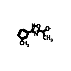 Cc1cccc(-c2noc(C(C)[O])n2)c1